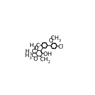 C=C1C(=O)C(C)(C)C(=O)C(c2cc(-c3ccc(Cl)cc3OC)ccc2C)=C1O